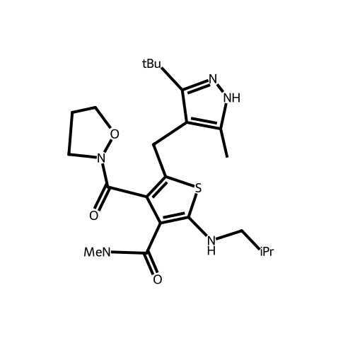 CNC(=O)c1c(NCC(C)C)sc(Cc2c(C(C)(C)C)n[nH]c2C)c1C(=O)N1CCCO1